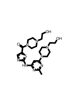 Cc1nc(Nc2ncc(C(=O)N3CCN(CCO)CC3)s2)cc(N2CCN(CCO)CC2)n1